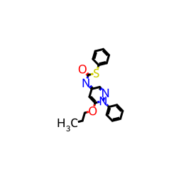 CCCOc1cc(=NC(=O)Sc2ccccc2)cnn1-c1ccccc1